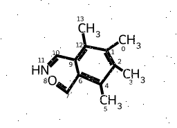 Cc1c(C)c(C)c([C]=O)c([C]=N)c1C